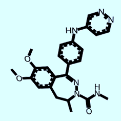 CNC(=O)N1N=C(c2ccc(Nc3ccnnc3)cc2)c2cc(OC)c(OC)cc2CC1C